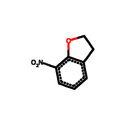 O=[N+]([O-])c1cccc2c1OCC2